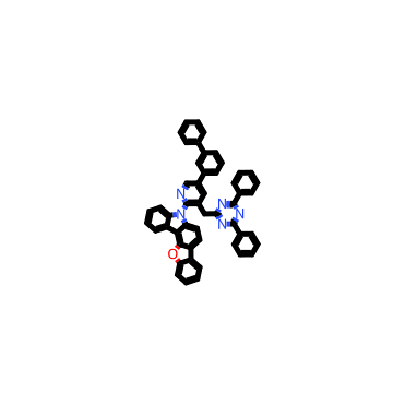 c1ccc(-c2cccc(-c3cnc(-n4c5ccccc5c5c6oc7ccccc7c6ccc54)c(Cc4nc(-c5ccccc5)nc(-c5ccccc5)n4)c3)c2)cc1